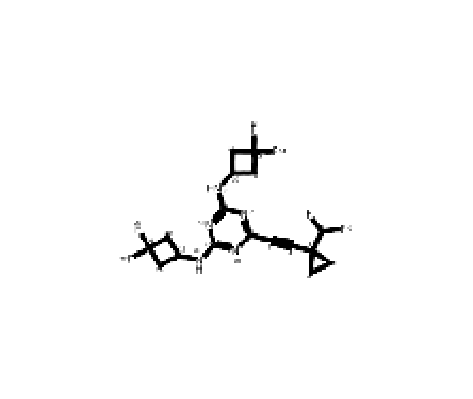 FC(F)C1(C#Cc2nc(NC3CC(F)(F)C3)nc(NC3CC(F)(F)C3)n2)CC1